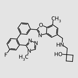 Cc1cc(CNCC2(O)CCC2)cc2nc(-c3cccc(-c4ccc(F)cc4-c4nncn4C)c3)oc12